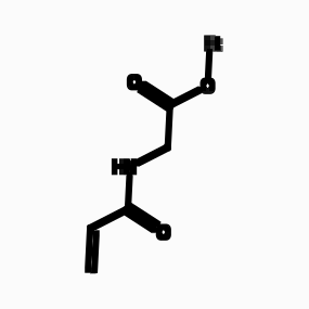 [CH]=CC(=O)NCC(=O)OCC